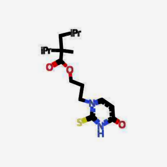 CC(C)CC(C)(C(=O)OCCCn1ccc(=O)[nH]c1=S)C(C)C